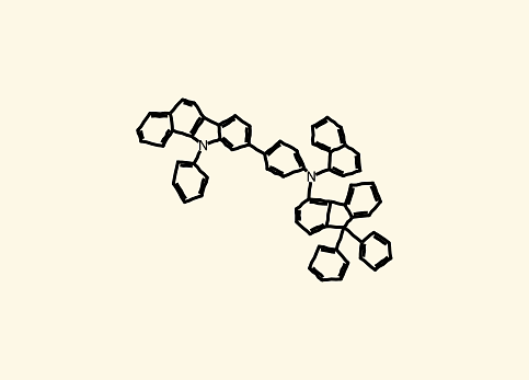 c1ccc(-n2c3cc(-c4ccc(N(c5cccc6c5-c5ccccc5C6(c5ccccc5)c5ccccc5)c5cccc6ccccc56)cc4)ccc3c3ccc4ccccc4c32)cc1